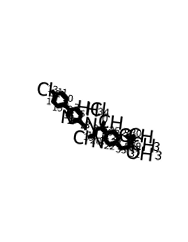 Cc1c(NCc2ccc(-c3ccc(Cl)cc3)nc2)c(Cl)nc2cc3c(cc12)OC(C)(C)[C@H](O)C3.Cl